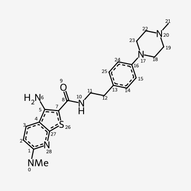 CNc1ccc2c(N)c(C(=O)NCCc3ccc(N4CCN(C)CC4)cc3)sc2n1